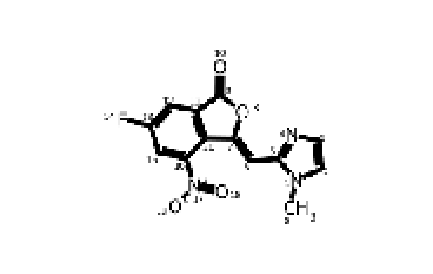 Cn1ccnc1C=C1OC(=O)c2cc(F)cc([N+](=O)[O-])c21